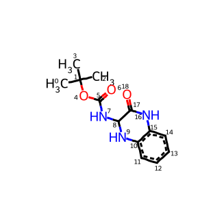 CC(C)(C)OC(=O)NC1Nc2ccccc2NC1=O